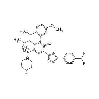 CCc1ccc(OC)cc1-n1c(CC(C)C)c(C(=O)N2CCNCC2)cc(-c2nc(-c3ccc(C(F)F)cc3)cs2)c1=O